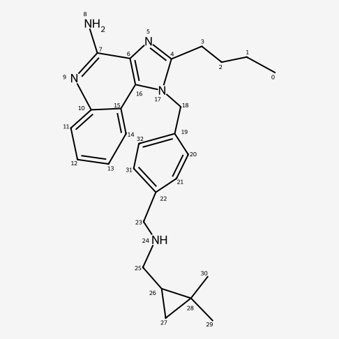 CCCCc1nc2c(N)nc3ccccc3c2n1Cc1ccc(CNCC2CC2(C)C)cc1